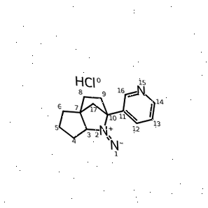 Cl.[N-]=[N+]1C2CCCC23CCC1(c1cccnc1)C3